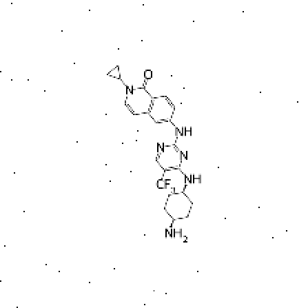 N[C@H]1CC[C@@H](Nc2nc(Nc3ccc4c(=O)n(C5CC5)ccc4c3)ncc2C(F)(F)F)CC1